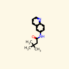 CC(C)(C)CC(=O)Nc1ccc2ncccc2c1